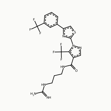 N=C(N)NCCCNC(=O)c1cnn(-c2nc(-c3cccc(C(F)(F)F)c3)cs2)c1C(F)(F)F